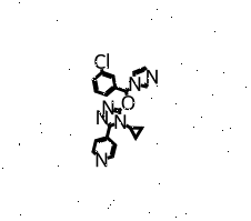 Clc1cccc(C(Oc2nnc(-c3ccncc3)n2C2CC2)n2ccnc2)c1